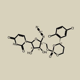 [N-]=[N+]=N[C@]1(COP2(=O)OCC[C@@H](c3cc(Cl)ccc3Cl)O2)OC(n2ccc(=O)[nH]c2=O)[C@H](O)[C@@H]1O